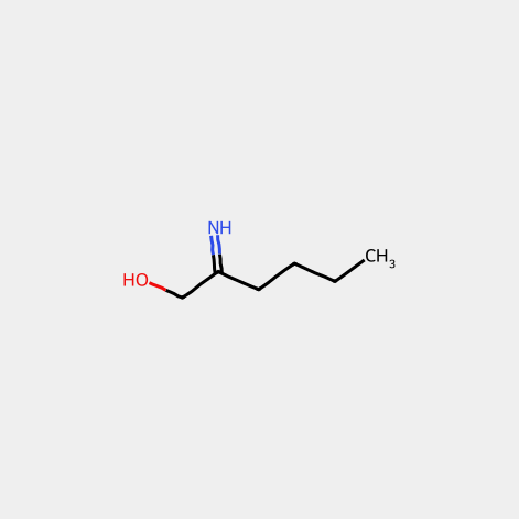 CCCCC(=N)CO